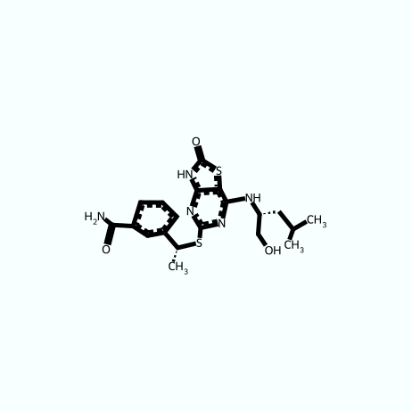 CC(C)C[C@H](CO)Nc1nc(S[C@H](C)c2cccc(C(N)=O)c2)nc2[nH]c(=O)sc12